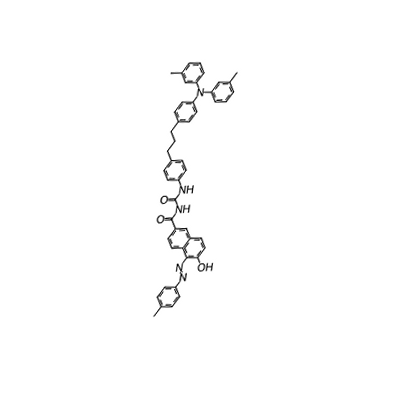 Cc1ccc(N=Nc2c(O)ccc3cc(C(=O)NC(=O)Nc4ccc(CCCc5ccc(N(c6cccc(C)c6)c6cccc(C)c6)cc5)cc4)ccc23)cc1